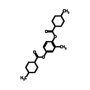 Cc1cc(OC(=O)C2CCC(C)CC2)ccc1OC(=O)C1CCC(C)CC1